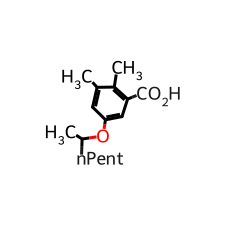 CCCCCC(C)Oc1cc(C)c(C)c(C(=O)O)c1